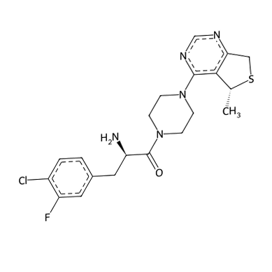 C[C@H]1SCc2ncnc(N3CCN(C(=O)[C@H](N)Cc4ccc(Cl)c(F)c4)CC3)c21